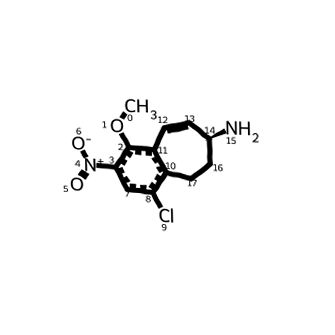 COc1c([N+](=O)[O-])cc(Cl)c2c1C=C[C@@H](N)CC2